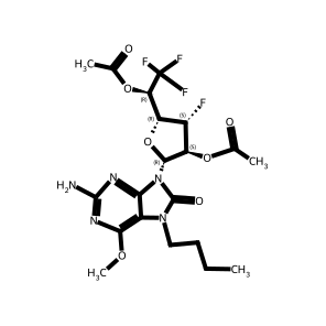 CCCCn1c(=O)n([C@@H]2O[C@H]([C@@H](OC(C)=O)C(F)(F)F)[C@H](F)[C@H]2OC(C)=O)c2nc(N)nc(OC)c21